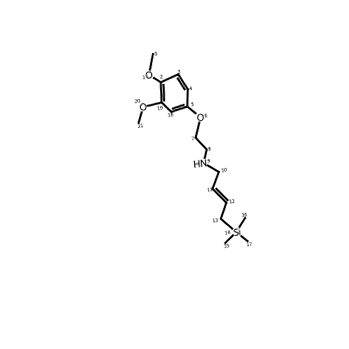 COc1ccc(OCCNCC=CC[Si](C)(C)C)cc1OC